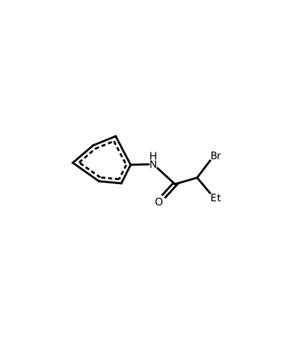 CCC(Br)C(=O)Nc1ccccc1